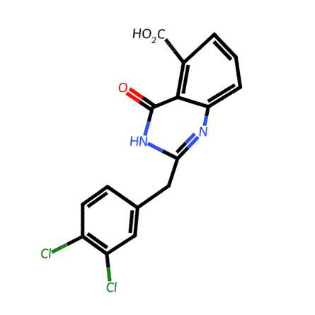 O=C(O)c1cccc2nc(Cc3ccc(Cl)c(Cl)c3)[nH]c(=O)c12